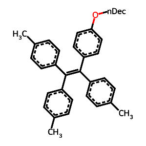 CCCCCCCCCCOc1ccc(C(=C(c2ccc(C)cc2)c2ccc(C)cc2)c2ccc(C)cc2)cc1